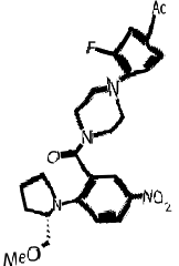 COC[C@@H]1CCCN1c1ccc([N+](=O)[O-])cc1C(=O)N1CCN(c2ccc(C(C)=O)cc2F)CC1